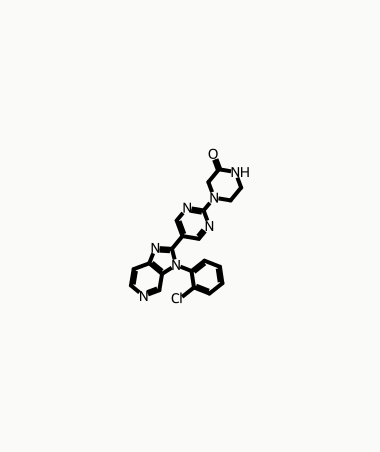 O=C1CN(c2ncc(-c3nc4ccncc4n3-c3ccccc3Cl)cn2)CCN1